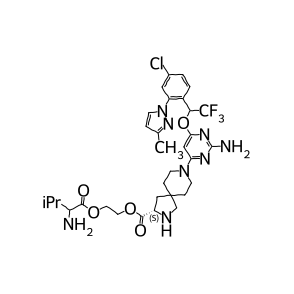 Cc1ccn(-c2cc(Cl)ccc2C(Oc2cc(N3CCC4(CC3)CN[C@H](C(=O)OCCOC(=O)C(N)C(C)C)C4)nc(N)n2)C(F)(F)F)n1